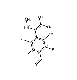 C=Cc1c(F)c(F)c(C(NN)=C(C#N)C#N)c(F)c1F